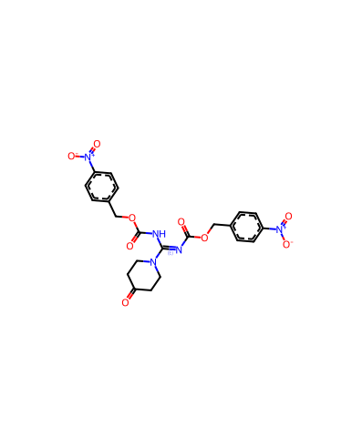 O=C1CCN(/C(=N/C(=O)OCc2ccc([N+](=O)[O-])cc2)NC(=O)OCc2ccc([N+](=O)[O-])cc2)CC1